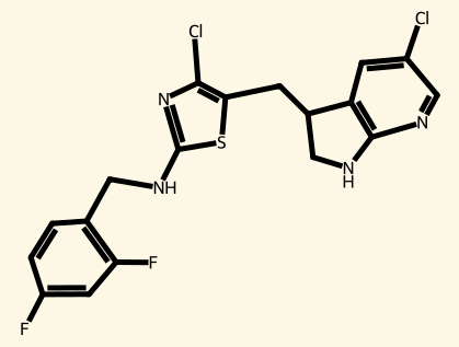 Fc1ccc(CNc2nc(Cl)c(CC3CNc4ncc(Cl)cc43)s2)c(F)c1